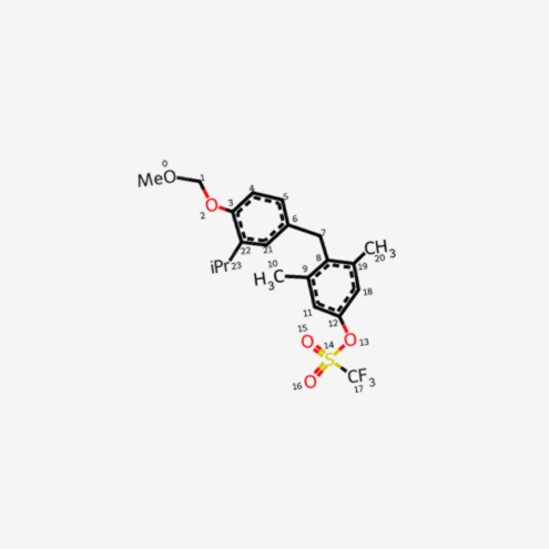 COCOc1ccc(Cc2c(C)cc(OS(=O)(=O)C(F)(F)F)cc2C)cc1C(C)C